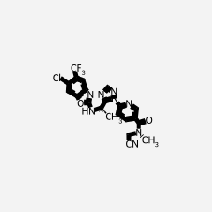 C[C@H](Nc1nc2cc(C(F)(F)F)c(Cl)cc2o1)c1ncnn1-c1ccc(C(=O)N(C)CC#N)cn1